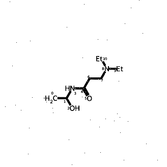 [CH2]C(O)NC(=O)CCN(CC)CC